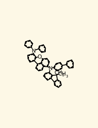 CC1(C)c2ccccc2-c2cccc(N(c3ccc(-c4ccccc4)cc3)c3ccc4c5c(cccc35)-c3cccc(N(c5ccccc5)c5ccccc5)c3O4)c21